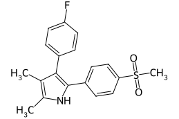 Cc1[nH]c(-c2ccc(S(C)(=O)=O)cc2)c(-c2ccc(F)cc2)c1C